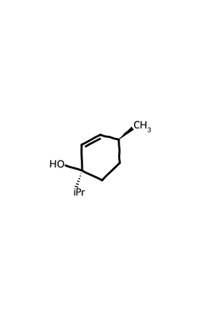 CC(C)[C@]1(O)C=C[C@@H](C)CC1